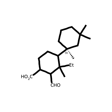 CCC1(C)C(C=O)C(C(=O)O)CCC1[C@@]1(C)CCCC(C)(C)C1